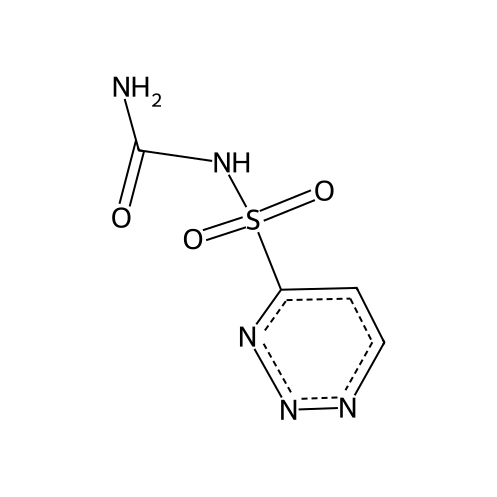 NC(=O)NS(=O)(=O)c1ccnnn1